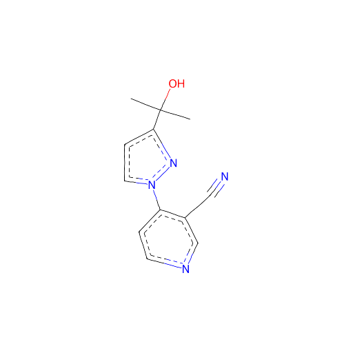 CC(C)(O)c1ccn(-c2ccncc2C#N)n1